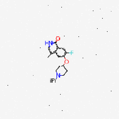 Cc1c[nH]c(=O)c2cc(F)c(OC3CCN(C(C)C)CC3)cc12